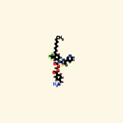 CCCCCCCCc1ccc(N(C(=O)OCOC(=O)c2ccc(CN)cc2)c2nc(-c3cccnc3)c(F)s2)cc1C(F)(F)F